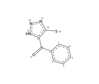 O=C(c1ccccc1)c1[nH]nnc1[S]